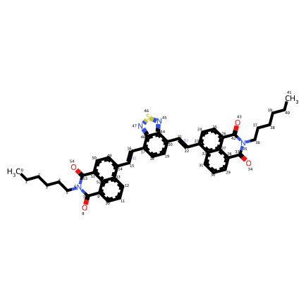 CCCCCCN1C(=O)c2cccc3c(/C=C/c4ccc(/C=C/c5ccc6c7c(cccc57)C(=O)N(CCCCCC)C6=O)c5nsnc45)ccc(c23)C1=O